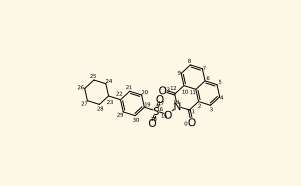 O=C1c2cccc3cccc(c23)C(=O)N1OS(=O)(=O)c1ccc(C2CCCCC2)cc1